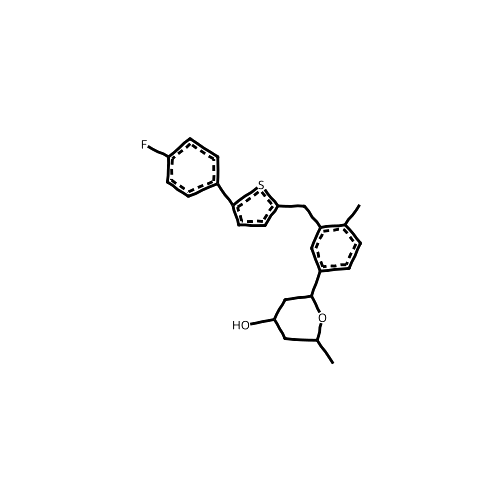 Cc1ccc(C2CC(O)CC(C)O2)cc1Cc1ccc(-c2ccc(F)cc2)s1